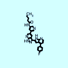 CCCCC(=O)Nc1cncc(-c2cnc3[nH]nc(-c4cc5c(-c6ccc(F)cc6)ccnc5[nH]4)c3c2)c1